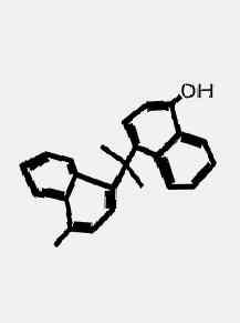 Cc1ccc(C(C)(C)c2ccc(O)c3ccccc23)c2ccccc12